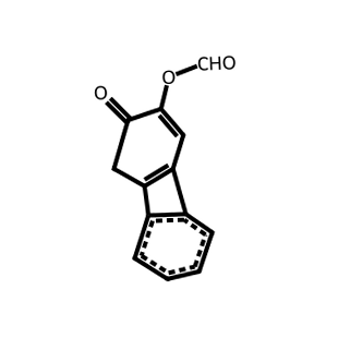 O=COC1=CC2=C(CC1=O)c1ccccc12